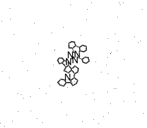 c1ccc(-c2nc(-c3ccccc3-c3ccccc3)nc(-n3c4ccccc4c4cc5c6c(cccc6c43)c3cccc4c6ccccc6n5c34)n2)cc1